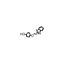 Oc1ccc(OCCn2nc3ccccc3n2)cc1